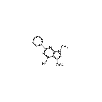 CC(=O)Oc1cn(C)c2nc(-c3ccccc3)nc(C#N)c12